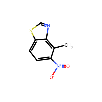 Cc1c([N+](=O)[O-])ccc2scnc12